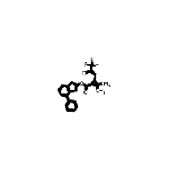 CC1(C)C(C=C(Cl)C(F)(F)F)C1C(=O)OC1Cc2cccc(-c3ccccc3)c2C1